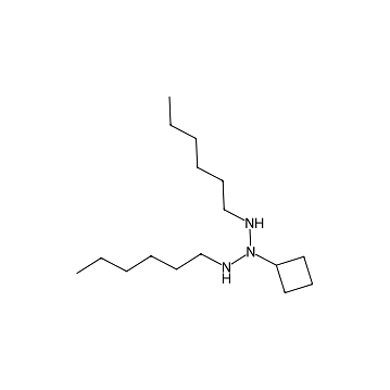 CCCCCCNN(NCCCCCC)C1CCC1